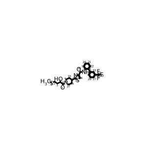 CSCCC(O)C(=O)N1CCC(c2nc(C(=O)Nc3ccccc3-c3cccc(C(F)(F)F)c3)cs2)CC1